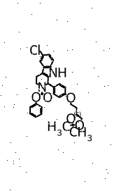 CC1(C)OC[C@H](CCOc2ccc(C3c4[nH]c5ccc(Cl)cc5c4CCN3C(=O)Oc3ccccc3)cc2)O1